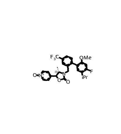 COc1cc(F)c(C(C)C)cc1-c1ccc(C(F)(F)F)cc1CN1C(=O)OC(c2cc[n+]([O-])cc2)[C@@H]1C